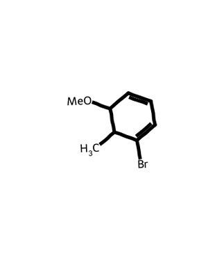 COC1C=CC=C(Br)C1C